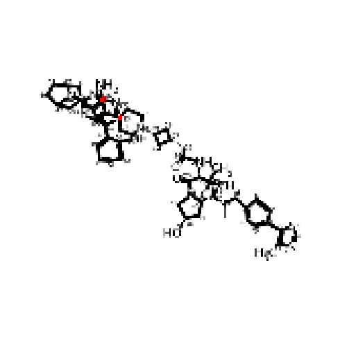 Cc1ncsc1-c1ccc(CNC(=O)[C@@H]2C[C@@H](O)CN2C(=O)[C@@H](NC(=O)C[C@H]2C[C@@H](N3CCC(c4cnc(N5C6CCC5CN(c5cc(-c7ccccc7O)nnc5N)C6)nc4)CC3)C2)C(C)(C)C)cc1